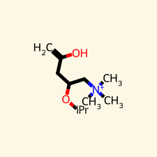 C=C(O)CC(C[N+](C)(C)C)OC(C)C